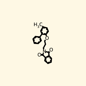 Cc1ccc(OCCCN2C(=O)c3ccccc3C2=O)c(-c2ccccc2)c1